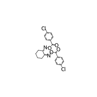 O=C(O/N=C1/CCCC/C1=N/OC(=O)c1ccc(Cl)cc1)c1ccc(Cl)cc1